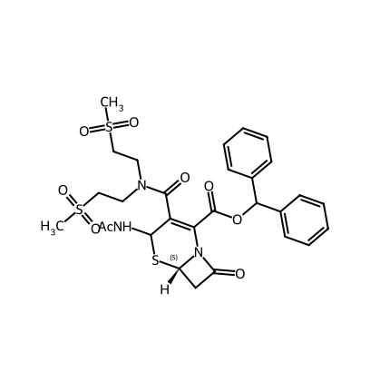 CC(=O)NC1S[C@H]2CC(=O)N2C(C(=O)OC(c2ccccc2)c2ccccc2)=C1C(=O)N(CCS(C)(=O)=O)CCS(C)(=O)=O